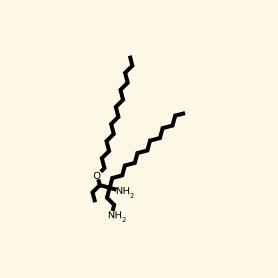 CCCCCCCCCCCCCCOC(CC)C(N)(CCN)CCCCCCCCCCCC